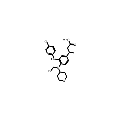 COC(=O)CC(C)c1ccc(N(CC(C)C)C2CCOCC2)c(Nc2ccc(Cl)nn2)c1